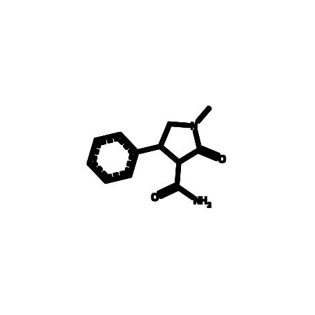 CN1CC(c2ccccc2)C(C(N)=O)C1=O